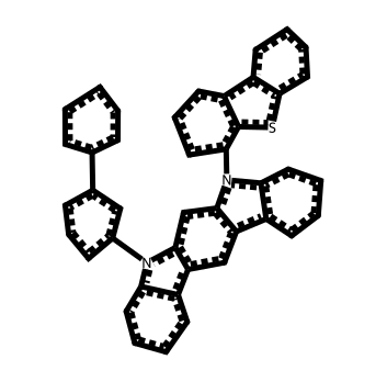 c1ccc(-c2cccc(-n3c4ccccc4c4cc5c6ccccc6n(-c6cccc7c6sc6ccccc67)c5cc43)c2)cc1